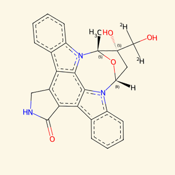 [2H]C([2H])(O)[C@@]1(O)C[C@H]2O[C@]1(C)n1c3ccccc3c3c4c(c5c6ccccc6n2c5c31)C(=O)NC4